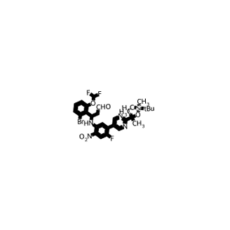 CC(C)(O[Si](C)(C)C(C)(C)C)c1ncc(-c2cc(NC(CC=O)c3c(Br)cccc3OC(F)F)c([N+](=O)[O-])cc2F)cn1